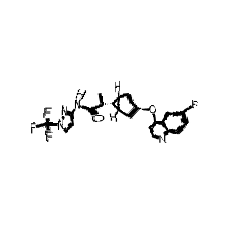 CC(C(=O)Nc1ccn(C(F)(F)F)n1)[C@@H]1[C@@H]2C[C@@H](Oc3ccnc4ccc(F)cc34)C[C@@H]21